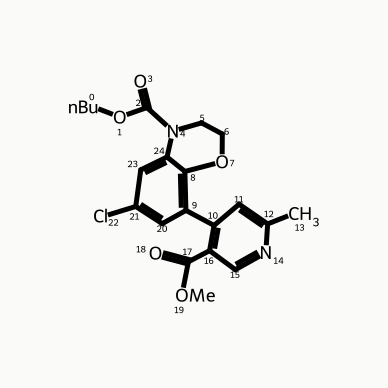 CCCCOC(=O)N1CCOc2c(-c3cc(C)ncc3C(=O)OC)cc(Cl)cc21